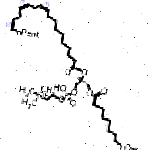 CCCCC/C=C\C/C=C\C/C=C\CCCCCCCCC(=O)O[C@H](COC(=O)CCCCCCCCCCCCCCCCC)COP(=O)(O)OCC[N+](C)(C)C